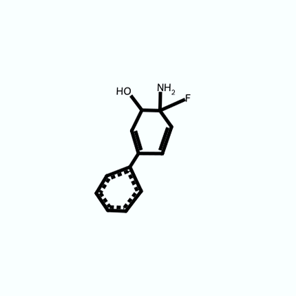 NC1(F)C=CC(c2ccccc2)=CC1O